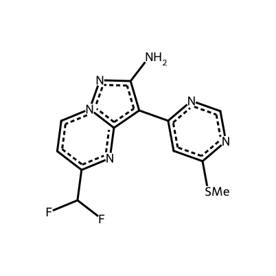 CSc1cc(-c2c(N)nn3ccc(C(F)F)nc23)ncn1